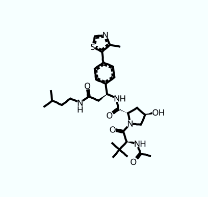 CC(=O)N[C@H](C(=O)N1C[C@H](O)C[C@H]1C(=O)N[C@@H](CC(=O)NCCC(C)C)c1ccc(-c2scnc2C)cc1)C(C)(C)C